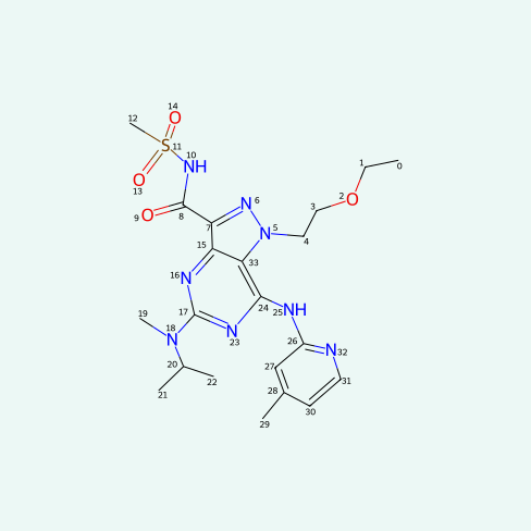 CCOCCn1nc(C(=O)NS(C)(=O)=O)c2nc(N(C)C(C)C)nc(Nc3cc(C)ccn3)c21